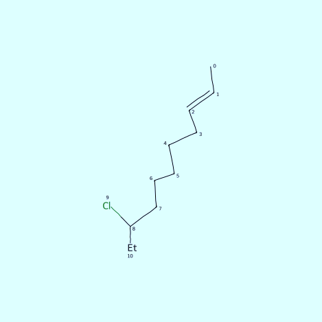 C/C=C/CCCCCC(Cl)CC